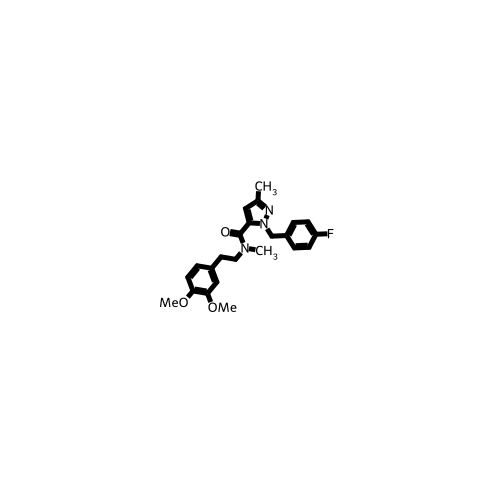 COc1ccc(CCN(C)C(=O)c2cc(C)nn2Cc2ccc(F)cc2)cc1OC